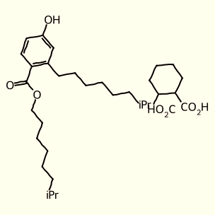 CC(C)CCCCCCOC(=O)c1ccc(O)cc1CCCCCCC(C)C.O=C(O)C1CCCCC1C(=O)O